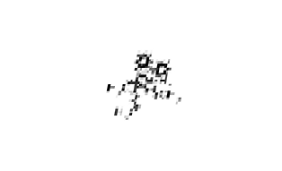 CCCCCP(CCCCC)C(CC)CC(CC)P(c1ccccc1)c1ccccc1